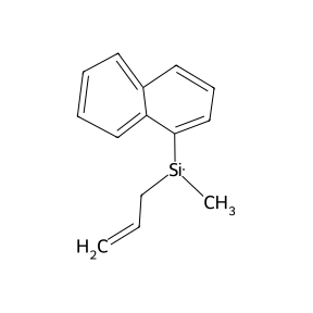 C=CC[Si](C)c1cccc2ccccc12